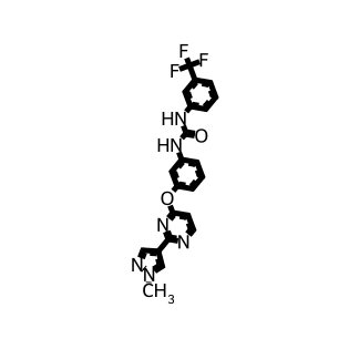 Cn1cc(-c2nccc(Oc3cccc(NC(=O)Nc4cccc(C(F)(F)F)c4)c3)n2)cn1